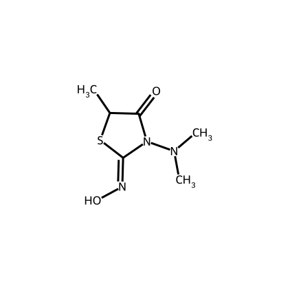 CC1SC(=NO)N(N(C)C)C1=O